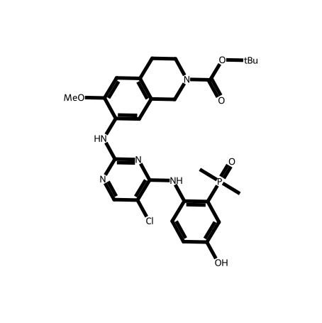 COc1cc2c(cc1Nc1ncc(Cl)c(Nc3ccc(O)cc3P(C)(C)=O)n1)CN(C(=O)OC(C)(C)C)CC2